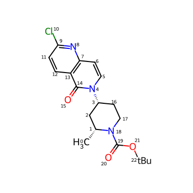 C[C@@H]1C[C@H](n2ccc3nc(Cl)ccc3c2=O)CCN1C(=O)OC(C)(C)C